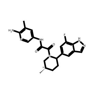 Cc1cc(NC(=O)C(=O)N2C[C@@H](C)CCC2c2cc(F)c3[nH]ncc3c2)cnc1N